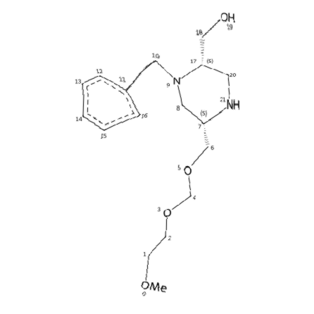 COCCOCOC[C@@H]1CN(Cc2ccccc2)[C@H](CO)CN1